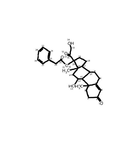 CC12CCC(=O)C=C1CCC1C2C(O)CC2(C)C1CCC2(OC(=O)Cc1ccccc1)C(=O)CO